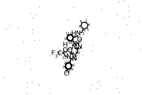 O=C(NCC1CCCCC1)c1ccccc1-n1cnc(Cn2nc(-c3ccc(Cl)cc3)n(CC(O)C(F)(F)F)c2=O)n1